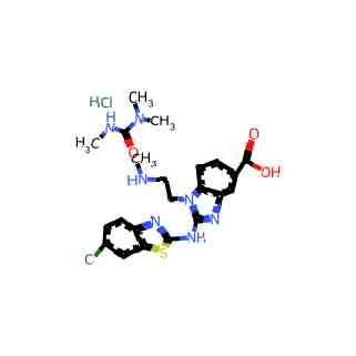 CNC(=O)N(C)C.CNCCn1c(Nc2nc3ccc(Cl)cc3s2)nc2cc(C(=O)O)ccc21.Cl